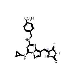 O=C1NC(=O)/C(=C/c2cnn3c(NC4CC4)nc(NCc4ccc(C(=O)O)cc4)nc23)N1